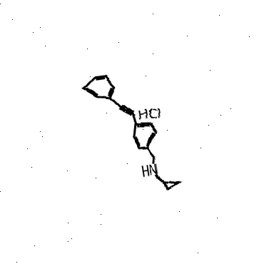 C(#Cc1ccc(CNC2CC2)cc1)c1ccccc1.Cl